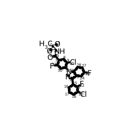 CS(=O)(=O)NC(=O)c1cc(Cl)c(-n2nc(-c3cccc(Cl)c3F)c3cc(F)ccc32)cc1F